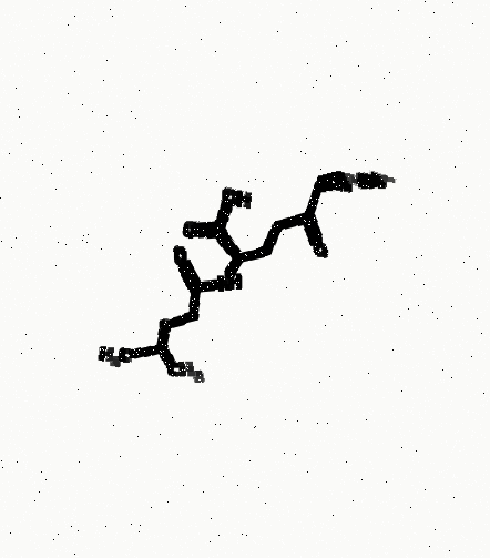 CC(C)SCC(=O)NC(CCC(=O)C=[N+]=[N-])C(=O)O